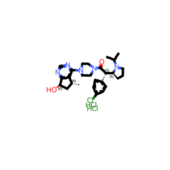 CC(C)N1CCC[C@H]1[C@@H](C(=O)N1CCN(c2ncnc3c2[C@H](C)C[C@H]3O)CC1)c1ccc(Cl)cc1.Cl.Cl